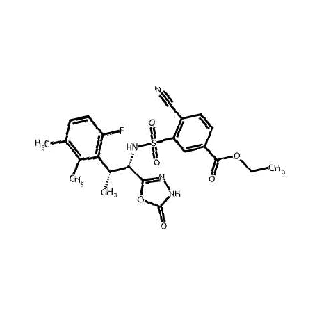 CCOC(=O)c1ccc(C#N)c(S(=O)(=O)N[C@H](c2n[nH]c(=O)o2)[C@H](C)c2c(F)ccc(C)c2C)c1